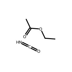 CCOC(C)=O.N=C=O